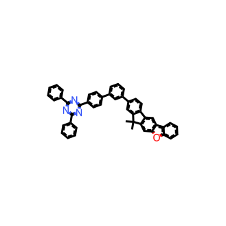 CC1(C)c2cc(-c3cccc(-c4ccc(-c5nc(-c6ccccc6)nc(-c6ccccc6)n5)cc4)c3)ccc2-c2cc3c(cc21)oc1ccccc13